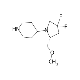 COC[C@H]1CC(F)(F)CN1C1CCNCC1